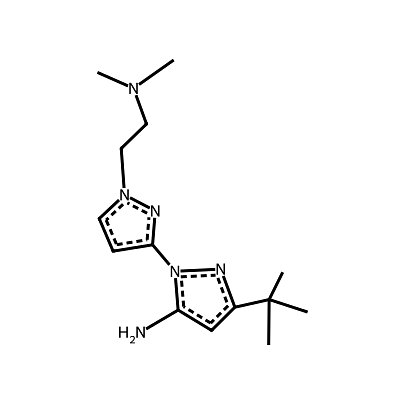 CN(C)CCn1ccc(-n2nc(C(C)(C)C)cc2N)n1